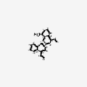 C=Cc1cccc2c(O)cccc12.C=Cc1cccc2ccccc12